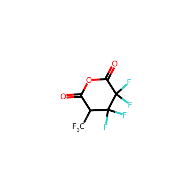 O=C1OC(=O)C(F)(F)C(F)(F)C1C(F)(F)F